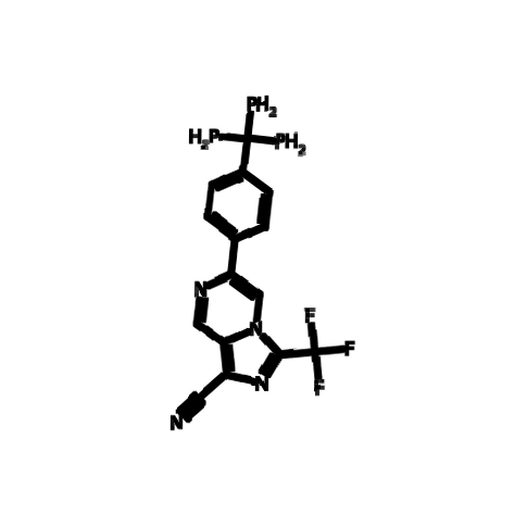 N#Cc1nc(C(F)(F)F)n2cc(-c3ccc(C(P)(P)P)cc3)ncc12